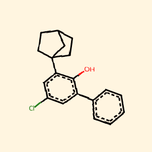 Oc1c(-c2ccccc2)cc(Cl)cc1C12CCC(CC1)C2